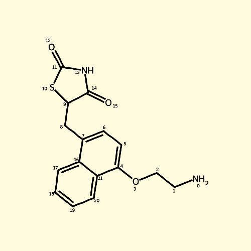 NCCOc1ccc(CC2SC(=O)NC2=O)c2ccccc12